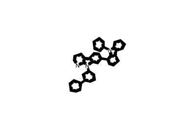 c1ccc(-c2cccc(-n3c4cc(-c5cccc6c7ccccc7n(-c7ccccc7)c56)ccc4c4cccnc43)c2)cc1